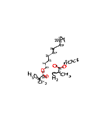 C=C(C)C(=O)OCCCCCCCC.C=C(C)C(=O)OCCCCCCCC(C)C